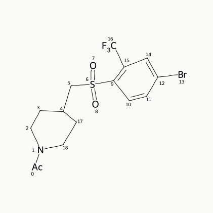 CC(=O)N1CCC(CS(=O)(=O)c2ccc(Br)cc2C(F)(F)F)CC1